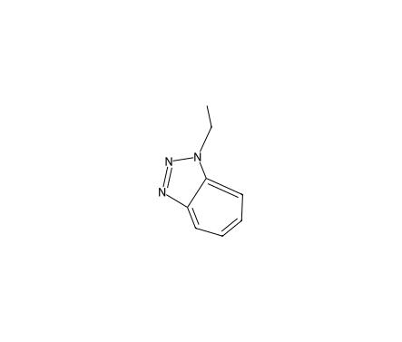 CCn1nnc2ccccc21